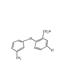 Cc1cccc(Oc2ccc(Cl)cc2C(=O)O)c1